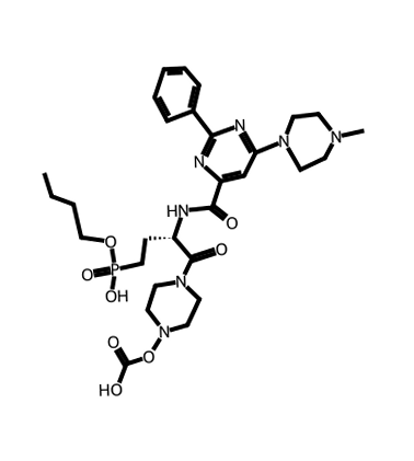 CCCCOP(=O)(O)CC[C@H](NC(=O)c1cc(N2CCN(C)CC2)nc(-c2ccccc2)n1)C(=O)N1CCN(OC(=O)O)CC1